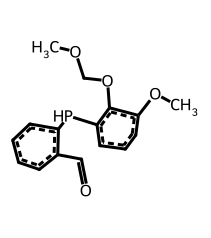 COCOc1c(OC)cccc1Pc1ccccc1C=O